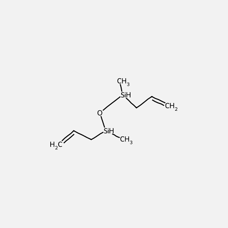 C=CC[SiH](C)O[SiH](C)CC=C